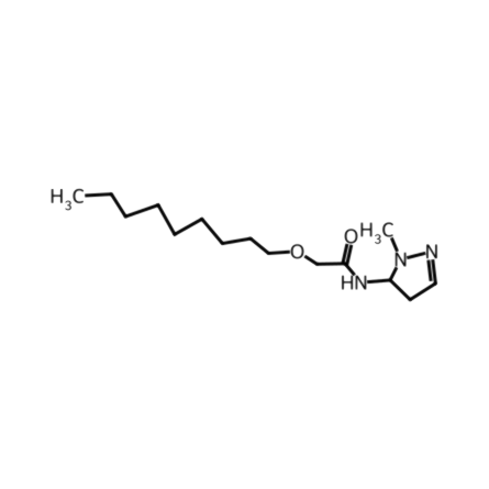 CCCCCCCCCOCC(=O)NC1CC=NN1C